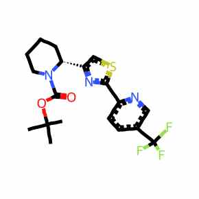 CC(C)(C)OC(=O)N1CCCC[C@@H]1c1csc(-c2ccc(C(F)(F)F)cn2)n1